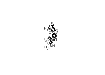 CNC(=O)CS(=O)(=O)N(OC)c1cc(-n2c(=O)cc(C(F)(F)F)n(C)c2=O)c(F)cc1Cl